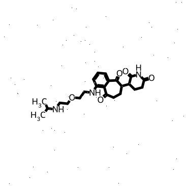 CC(C)NCCOCCNc1cccc2c1C(=O)CCC(C1CCC(=O)NC1=O)C2=O